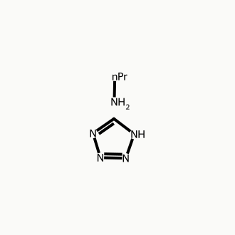 CCCN.c1nnn[nH]1